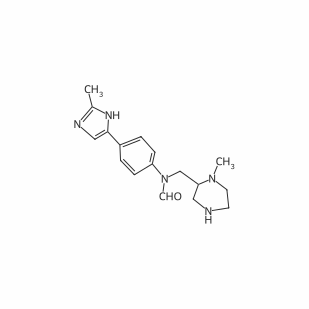 Cc1ncc(-c2ccc(N(C=O)CC3CNCCN3C)cc2)[nH]1